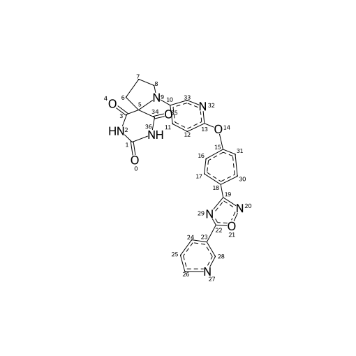 O=C1NC(=O)C2(CCCN2c2ccc(Oc3ccc(-c4noc(-c5cccnc5)n4)cc3)nc2)C(=O)N1